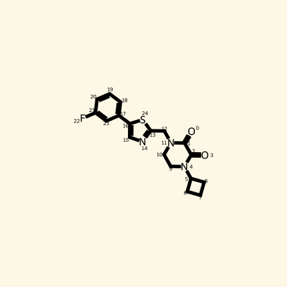 O=C1C(=O)N(C2CCC2)CCN1Cc1ncc(-c2cccc(F)c2)s1